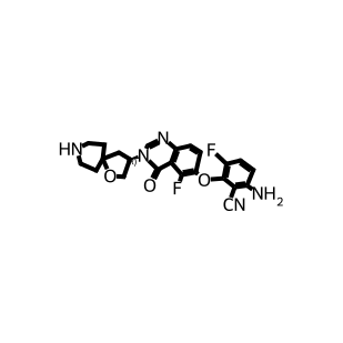 N#Cc1c(N)ccc(F)c1Oc1ccc2ncn([C@H]3COC4(CCNCC4)C3)c(=O)c2c1F